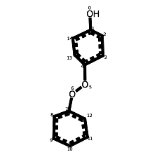 Oc1ccc(OOc2ccccc2)cc1